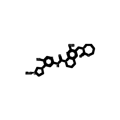 CO[C@H]1CCN(c2cc(NC(=O)N3CCCc4cc(CN5CCCCOC5=O)c(C=O)nc43)ncc2C#N)C1